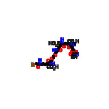 CCCC(=O)NS(=O)(=O)CCCC(=O)NC(CCC(=O)NC(CCC(=O)NCCOCCOCC(=O)NC(CCCCNC(=O)CBr)C(=O)O)C(=O)O)C(=O)O